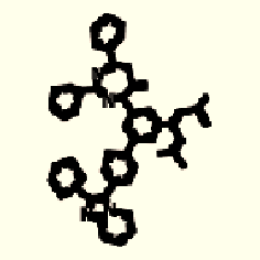 C=C(C)/C=C(\C=C(C)C)c1cc(-c2ccc(-c3c(-c4ccccc4)nc4ccccn34)cc2)cc(C2N=C(c3ccccc3)N=C(c3ccccc3)CC2=C)c1